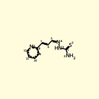 NC(=S)N/N=C\C=C\c1ccccn1